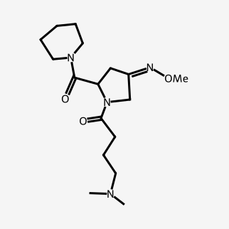 CON=C1CC(C(=O)N2CCCCC2)N(C(=O)CCCN(C)C)C1